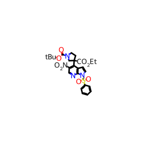 CCOC(=O)C1(c2c([N+](=O)[O-])cnc3c2ccn3S(=O)(=O)c2ccccc2)CCN(C(=O)OC(C)(C)C)C1